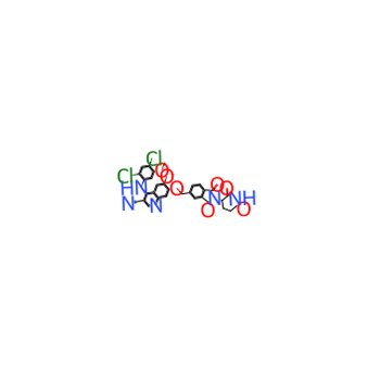 COc1cc(Nc2c(C#N)cnc3cc(OCc4ccc5c(c4)C(=O)N(C4CCC(=O)NC4=O)C5=O)c(OC)cc23)c(Cl)cc1Cl